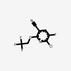 N#Cc1cc(F)c(Cl)nc1OCC(F)(F)F